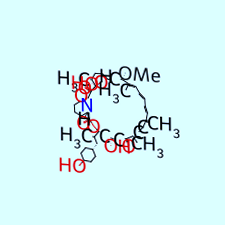 CO[C@H]1C[C@@H]2CC[C@@H](C)[C@@](O)(O2)C(=O)C(=O)N2CCCC[C@H]2C(=O)OC([C@H](C)C[C@H]2CC[C@H](O)CC2)C[C@@H](O)CC(=O)[C@H](C)CC[C@H](C)/C=C/C=C/C=C/1C